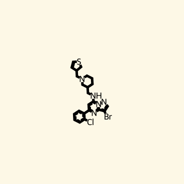 Clc1ccccc1-c1cc(NCC2CCCN(CC3C=CSC3)C2)n2ncc(Br)c2n1